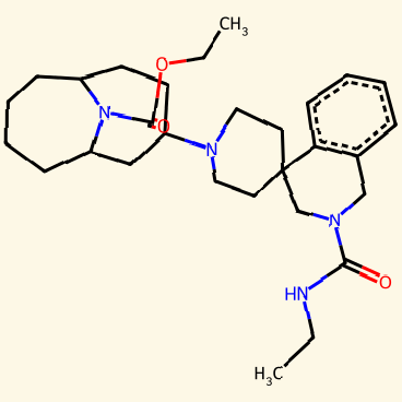 CCNC(=O)N1Cc2ccccc2C2(CCN(C3CCC4CCCCC(C3)N4C(=O)OCC)CC2)C1